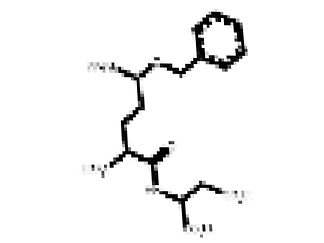 CCCCCC(CCC(C(=O)NC(CC(=O)OCC)C(=O)OCC)C(=O)OCC)OCc1ccccc1